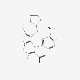 CC1=C(C(=O)O)C(c2cccc([N+](=O)[O-])c2)c2c(sc(C)c2CC2CCCC2)N1